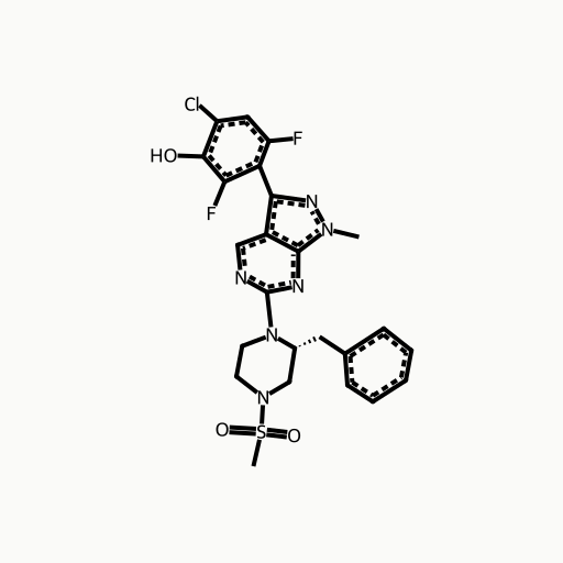 Cn1nc(-c2c(F)cc(Cl)c(O)c2F)c2cnc(N3CCN(S(C)(=O)=O)C[C@H]3Cc3ccccc3)nc21